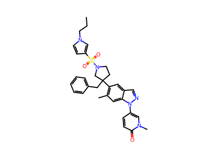 CCCn1ccc(S(=O)(=O)N2CCC(Cc3ccccc3)(c3cc4cnn(-c5ccc(=O)n(C)c5)c4cc3C)C2)c1